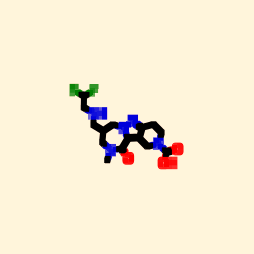 CN1CC(CNCC(F)F)Cn2nc3c(c2C1=O)CN(C(=O)O)CC3